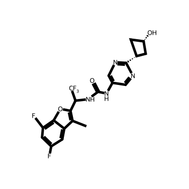 Cc1c(C(NC(=O)Nc2cnc([C@H]3C[C@@H](O)C3)nc2)C(F)(F)F)oc2c(F)cc(F)cc12